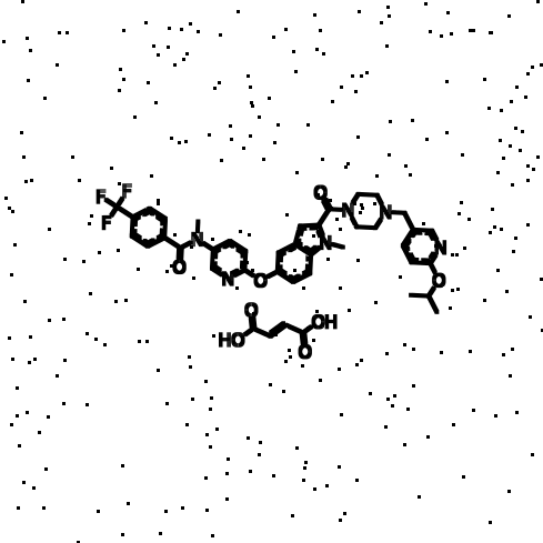 CC(C)Oc1ccc(CN2CCN(C(=O)c3cc4cc(Oc5ccc(N(C)C(=O)c6ccc(C(F)(F)F)cc6)cn5)ccc4n3C)CC2)cn1.O=C(O)C=CC(=O)O